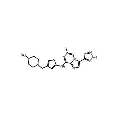 Cc1cn2c(-c3cn[nH]c3)cnc2c(Nc2cc(CN3CCC(O)CC3)cs2)n1